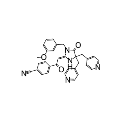 COc1cccc(CN2C(=O)C(Cc3ccncc3)(Cc3ccncc3)N/C2=C\C(=O)c2ccc(C#N)cc2)c1